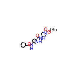 CC(C)(C)OC(=O)N1CCC(NC(=O)[C@@H]2CC[C@@H](NOCc3ccccc3)CN2)CC1